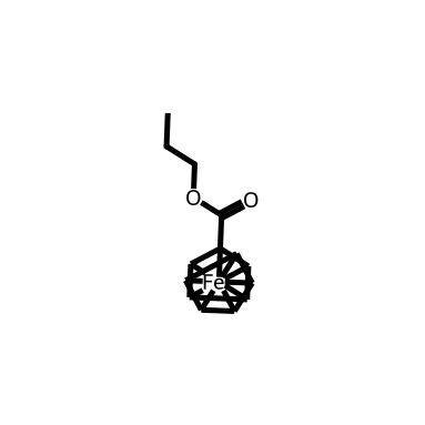 CCCOC(=O)[C]12[CH]3[CH]4[CH]5[CH]1[Fe]45321678[CH]2[CH]1[CH]6[CH]7[CH]28